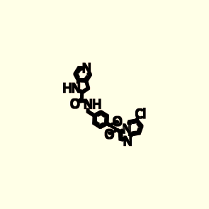 O=C(NCc1ccc(S(=O)(=O)c2cnc3ccc(Cl)cn23)cc1)C1Cc2cnccc2N1